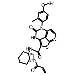 C=CC(=O)N[C@@H]1CCCC[C@H]1NC(=O)c1sc2nccc3c2c1NC(=O)N3c1ccc(OC(C)C)cc1C